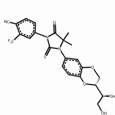 CC1(C)C(=O)N(c2ccc(C#N)c(C(F)(F)F)c2)C(=S)N1c1ccc2c(c1)OC[C@H]([C@@H](O)CO)O2